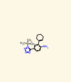 [CH3][Sn]([CH3])([CH3])[n]1nnnc1-c1ccc(N)c(C2=CCCCC2)c1